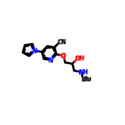 CC(C)(C)NC[C@H](O)COc1ncc(-n2cccc2)cc1C#N